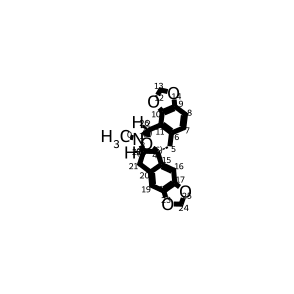 CN1[C@H]2O[C@@]3(Cc4ccc5c(c42)OCO5)c2cc4c(cc2C[C@@H]13)OCO4